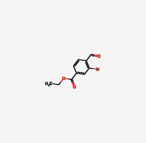 CCOC(=O)c1ccc(C=O)c(Br)c1